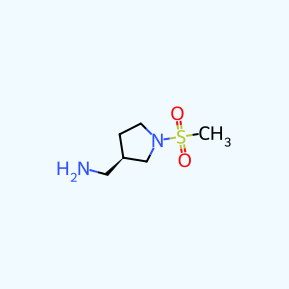 CS(=O)(=O)N1CC[C@H](CN)C1